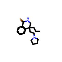 CCCC1(CCN2CCCC2)CNC(=S)c2ccccc21